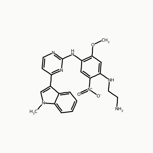 COc1cc(NCCN)c([N+](=O)[O-])cc1Nc1nccc(-c2cn(C)c3ccccc23)n1